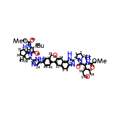 CC[C@H]1CC[C@@H](c2nc3ccc4cc5c(cc4c3[nH]2)OCc2cc(-c3cnc([C@@H]4C[C@@H]6CCC[C@@H]6N4C(=O)[C@@H](NC(=O)OC)[C@@H](C)CC)[nH]3)ccc2-5)N1C(=O)[C@@H](NC(=O)OC)C1CCOCC1